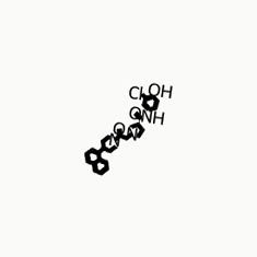 O=C(Nc1ccc(O)c(Cl)c1)[C@@H]1CCN(CC(=O)N2CCC(c3cccc4ccccc34)CC2)C1